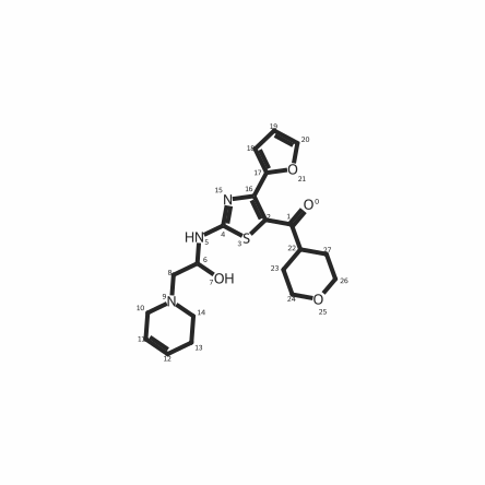 O=C(c1sc(NC(O)CN2CC=CCC2)nc1-c1ccco1)C1CCOCC1